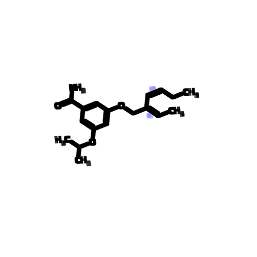 C/C=C(\C=C/CC)COc1cc(OC(C)C)cc(C(N)=O)c1